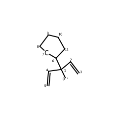 [CH2]C(C=C)(C=C)C1CCCCC1